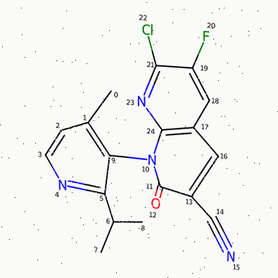 Cc1ccnc(C(C)C)c1-n1c(=O)c(C#N)cc2cc(F)c(Cl)nc21